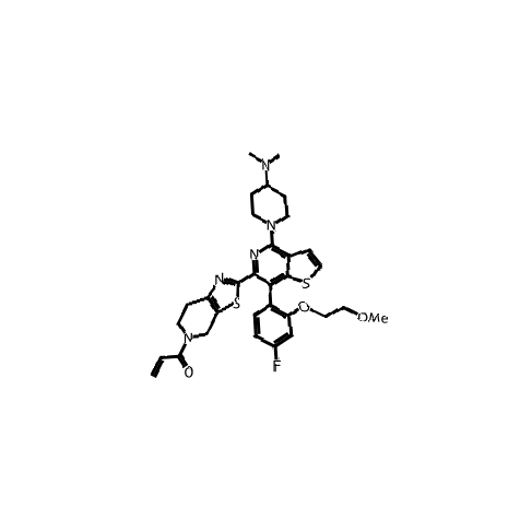 C=CC(=O)N1CCc2nc(-c3nc(N4CCC(N(C)C)CC4)c4ccsc4c3-c3ccc(F)cc3OCCOC)sc2C1